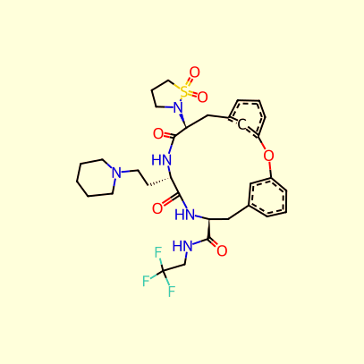 O=C(NCC(F)(F)F)[C@@H]1Cc2cccc(c2)Oc2cccc(c2)C[C@H](N2CCCS2(=O)=O)C(=O)N[C@@H](CCN2CCCCC2)C(=O)N1